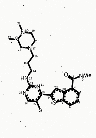 CNC(=O)c1cccc2sc(-c3nc(NCCCN4CCN(C)C(C)C4)ncc3C)cc12